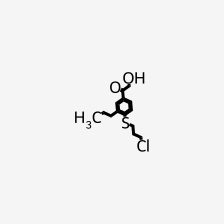 CCCc1cc(C(=O)CO)ccc1SCCCCl